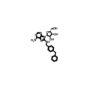 Nc1ncnc2c1nc(NCc1ccc(Cc3ccccc3)cc1)n2[C@@H]1O[C@H](CO)[C@@H](O)[C@H]1O